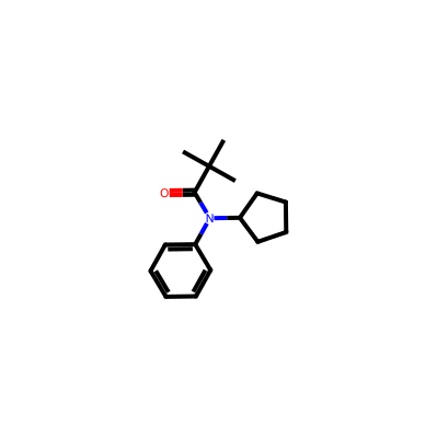 CC(C)(C)C(=O)N(c1ccccc1)C1CCCC1